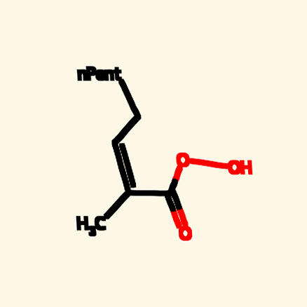 CCCCCCC=C(C)C(=O)OO